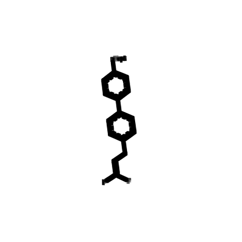 CCCCCCCc1ccc(-c2ccc(CC=C(F)F)cc2)cc1